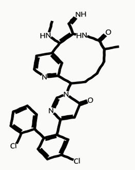 CN/C1=C(\C=N)NC(=O)C(C)CCCC(n2cnc(-c3cc(Cl)ccc3-c3ccccc3Cl)cc2=O)c2cc1ccn2